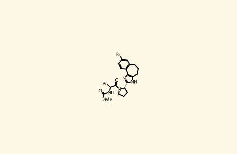 COC(=O)N[C@H](C(=O)N1CCC[C@H]1c1nc2c([nH]1)CCCc1cc(Br)ccc1-2)C(C)C